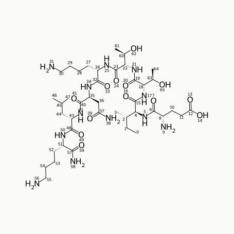 CC[C@H](C)[C@H](NC(=O)[C@@H](N)CCC(=O)O)C(=O)N[C@H](C(=O)N[C@H](C(=O)N[C@@H](CCCCN)C(=O)N[C@@H](CC(N)=O)C(=O)N[C@@H](CC(C)C)C(=O)N[C@@H](CCCCN)C(N)=O)[C@@H](C)O)[C@@H](C)O